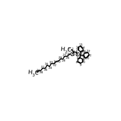 C=CC(COC(c1ccccc1)(c1ccccc1)c1ccccc1)OCCCCCCCCCCCCCCCC